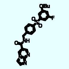 CC(C)COc1cc(F)cc(S(=O)(=O)c2ccc(CNC(=O)c3cnc4nccn4c3)cc2)c1